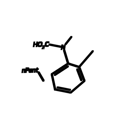 CCCCCC.Cc1ccccc1N(C)C(=O)O